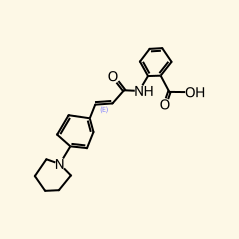 O=C(/C=C/c1ccc(N2CCCCC2)cc1)Nc1ccccc1C(=O)O